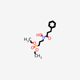 CCOP(=O)(CCCN(O)C(=O)CCc1ccccc1)OCC